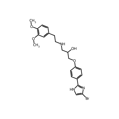 COc1ccc(CCNCC(O)COc2ccc(-c3nc(Br)c[nH]3)cc2)cc1OC